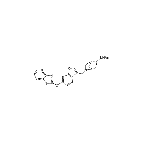 CC(=O)NC1CC2CC1CN2Cc1coc2cc(Oc3nc4ncccc4s3)ccc12